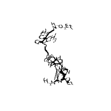 CCOC(=O)NCCC(C)(C)C(=O)SCCO[P@]1(=O)OC[C@H]2O[C@@H](n3cnc4c(OCC)nc(N)nc43)[C@](C)(F)[C@@H]2O1